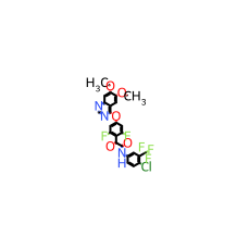 COc1cc2ncnc(Oc3cc(F)c(C(=O)C(=O)Nc4ccc(Cl)c(C(F)(F)F)c4)c(F)c3)c2cc1OC